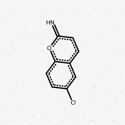 N=c1ccc2cc(Cl)ccc2o1